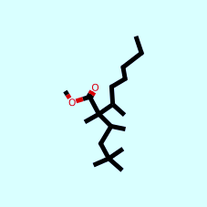 CCCCCC(C)C(C)(C(=O)OC)C(C)CC(C)(C)C